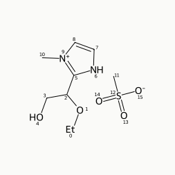 CCOC(CO)c1[nH]cc[n+]1C.CS(=O)(=O)[O-]